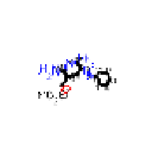 Nc1nc(N)c(N=Nc2ccccc2)cc1COC(=O)O